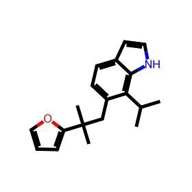 CC(C)c1c(CC(C)(C)c2ccco2)ccc2cc[nH]c12